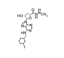 CNNC(=O)[C@@H]1C[C@@H](O)[C@H](n2cnc3c(NCc4cccc(I)c4)ncnc32)O1